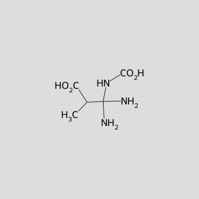 CC(C(=O)O)C(N)(N)NC(=O)O